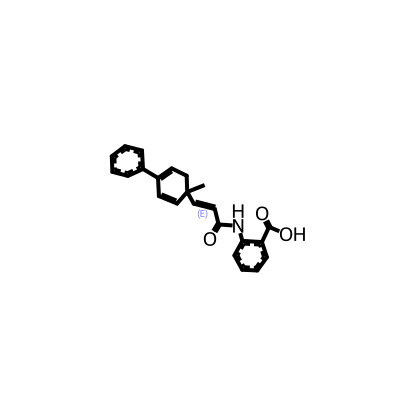 CC1(/C=C/C(=O)Nc2ccccc2C(=O)O)C=CC(c2ccccc2)=CC1